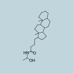 CC(O)NC(=O)CCCC1CCC2C3CCC4CCCCC4(C)C3CCC12C